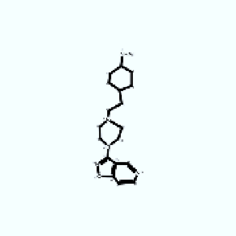 CC(=O)NC1CCC(CCN2CCN(c3noc4ccncc34)CC2)CC1